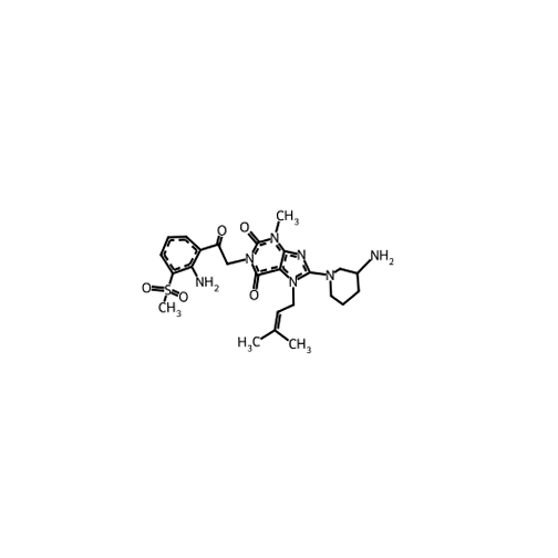 CC(C)=CCn1c(N2CCCC(N)C2)nc2c1c(=O)n(CC(=O)c1cccc(S(C)(=O)=O)c1N)c(=O)n2C